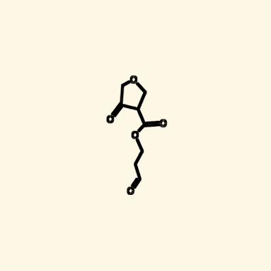 O=CCCOC(=O)C1COCC1=O